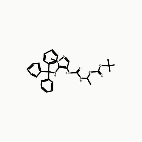 CC(NC(=O)Nc1cnn(C)c1NC(c1ccccc1)(c1ccccc1)c1ccccc1)NC(=O)OC(C)(C)C